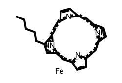 CCCCCc1cc2cc3nc(cc4ccc(cc5nc(cc1[nH]2)C=C5)[nH]4)C=C3.[Fe]